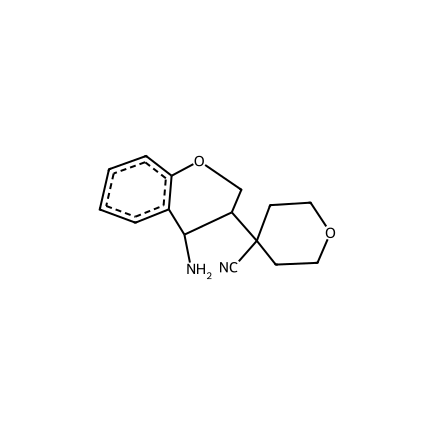 N#CC1(C2COc3ccccc3C2N)CCOCC1